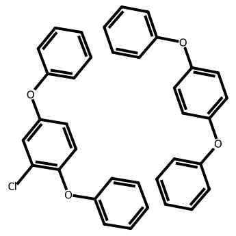 Clc1cc(Oc2ccccc2)ccc1Oc1ccccc1.c1ccc(Oc2ccc(Oc3ccccc3)cc2)cc1